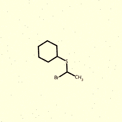 CC(Br)SC1CCCCC1